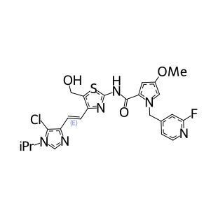 COc1cc(C(=O)Nc2nc(/C=C/c3ncn(C(C)C)c3Cl)c(CO)s2)n(Cc2ccnc(F)c2)c1